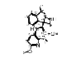 COc1ccc(NC(=O)C2(c3ccccc3C(C)C)CNC2)c(OC)n1.Cl